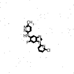 Cc1ccc(Nc2cc3ncn(-c4cc[c]c(Cl)n4)c3cc2F)nn1